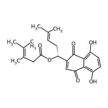 CC(C)=CC[C@@H](OC(=O)CC(C)=C(C)C)C1=CC(=O)c2c(O)ccc(O)c2C1=O